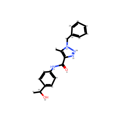 Cc1c(C(=O)Nc2ccc(C(C)O)cc2)nnn1Cc1ccccc1